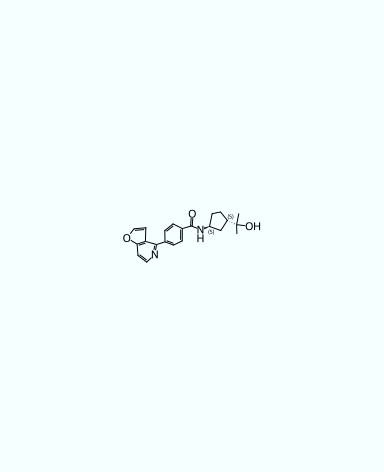 CC(C)(O)[C@H]1CC[C@H](NC(=O)c2ccc(-c3nccc4occc34)cc2)C1